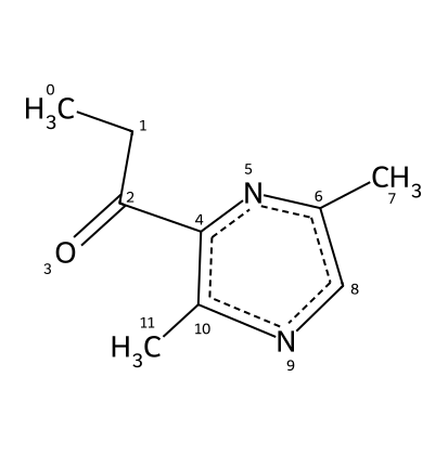 CCC(=O)c1nc(C)cnc1C